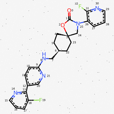 O=C1O[C@]2(CC[C@H](CNc3ccc(-c4ncccc4F)cn3)CC2)CN1c1cccnc1F